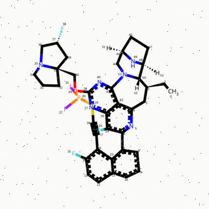 CC[C@H]1Cc2nc(-c3cccc4ccc(F)c(C#CSP(I)I)c34)c(F)c3nc(OC[C@@]45CCCN4C[C@H](F)C5)nc(c23)N2C[C@H]3CC[C@H](N3)[C@H]12